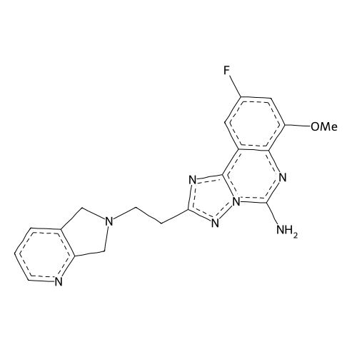 COc1cc(F)cc2c1nc(N)n1nc(CCN3Cc4cccnc4C3)nc21